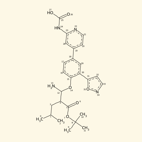 CC(C)CC(C(=O)OC(C)(C)C)C(N)Oc1ccc(-c2ccnc(NC(=O)O)c2)cc1-c1ccno1